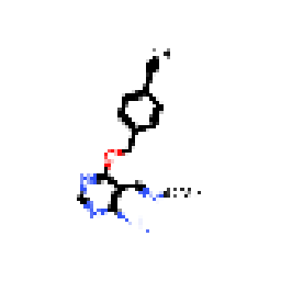 C#Cc1ccc(COc2ncnc(N)c2/C=N/OC)cc1